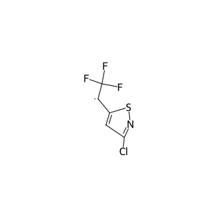 FC(F)(F)[CH]c1cc(Cl)ns1